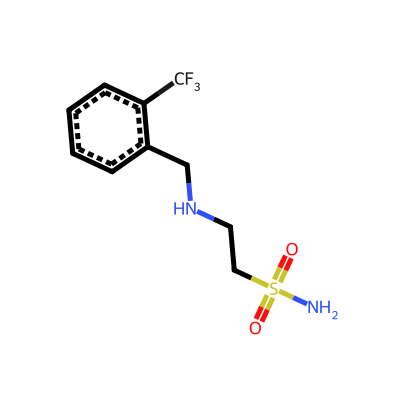 NS(=O)(=O)CCNCc1ccccc1C(F)(F)F